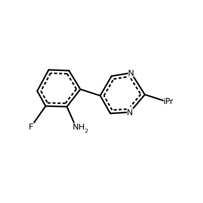 CC(C)c1ncc(-c2cccc(F)c2N)cn1